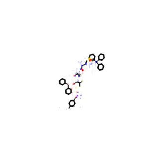 CON=C(C(=O)N[C@@H]1C(=O)N2C(C(=O)OC(c3ccccc3)c3ccccc3)=C(CSc3nnc(-c4ccc(OC(C)=O)c(OC(C)=O)c4)o3)CS[C@@H]12)c1csc(NC(c2ccccc2)(c2ccccc2)c2ccccc2)n1